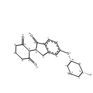 C[C@@H]1CNC[C@H](Oc2ccc3c(c2)CN(N2C(=O)CCCC2=O)C3=O)C1